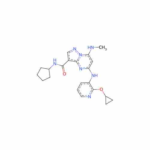 CNc1cc(Nc2cccnc2OC2CC2)nc2c(C(=O)NC3CCCC3)cnn12